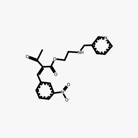 CC(=O)C(=Cc1cccc([N+](=O)[O-])c1)C(=O)OCCNCc1cccnc1